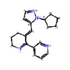 C(=C1/CCCN=C1c1cccnc1)/c1ccnn1C1CCCC1